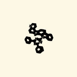 c1ccc(-c2nc(-c3ccccc3)nc(-n3c4ccccc4c4ccc5c(sc6ccc7ncccc7c65)c43)n2)cc1